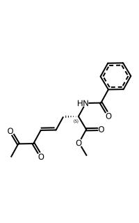 COC(=O)[C@H](CC=CC(=O)C(C)=O)NC(=O)c1ccccc1